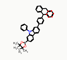 CC1(C)OB(c2ccc3c4ccc(-c5ccc(C67c8ccccc8C(c8ccccc86)c6ccccc67)cc5)cc4n(-c4ccccc4)c3c2)OC1(C)C